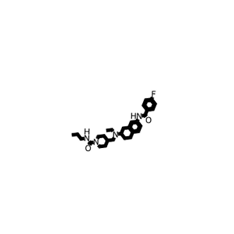 CCCNC(=O)N1CCC(CN(CC)C2CCc3ccc(NC(=O)c4ccc(F)cc4)cc3C2)CC1